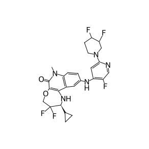 Cn1c(=O)c2c(c3cc(Nc4cc(N5CCC(F)C(F)C5)ncc4F)ccc31)N[C@@H](C1CC1)C(F)(F)CO2